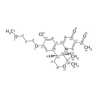 COCCCOc1cc2c(cc1Cl)-c1cc(=O)c(C(C)=O)cn1[C@H]1[C@@H]2CCOC1(C)C